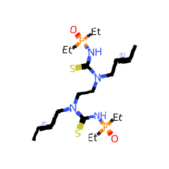 C/C=C/CN(CCN(C/C=C/C)C(=S)NP(=O)(CC)CC)C(=S)NP(=O)(CC)CC